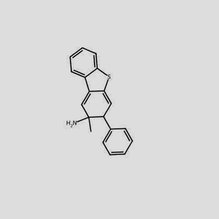 CC1(N)C=c2c(sc3ccccc23)=CC1c1ccccc1